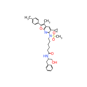 Cc1ccc(-c2oc3nc(N(CCCCCC(=O)NC(CO)Cc4ccccc4)S(C)(=O)=O)c(C4CC4)cc3c2C)cc1